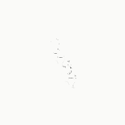 CN1CCCCC1CNC(=O)c1ccc2c(c1)nc(Nc1nc3ccc(Cl)cc3s1)n2C